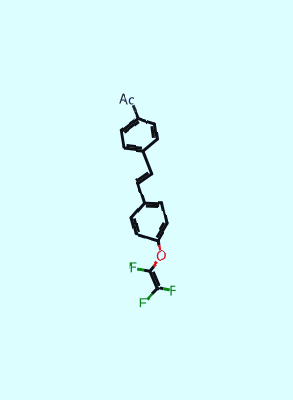 CC(=O)c1ccc(C=Cc2ccc(OC(F)=C(F)F)cc2)cc1